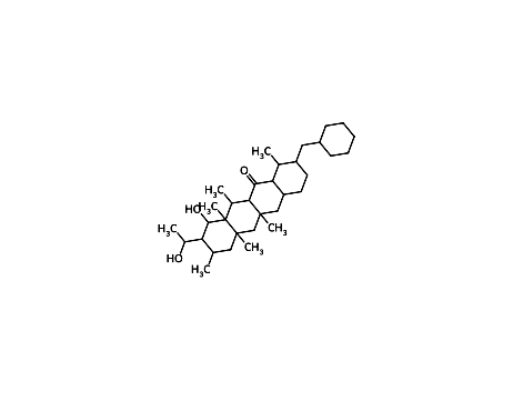 CC(O)C1C(C)CC2(C)CC3(C)CC4CCC(CC5CCCCC5)C(C)C4C(=O)C3C(C)C2(C)C1O